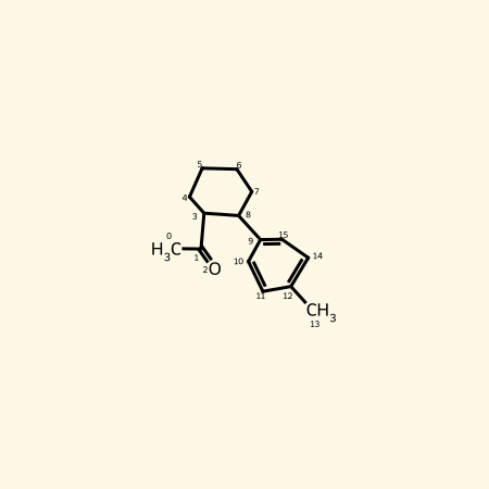 CC(=O)C1CCCCC1c1ccc(C)cc1